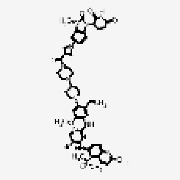 CCc1cc(Nc2ncc(Br)c(Nc3ccc4nc(C)ccc4c3P(C)(C)=O)n2)c(OC)cc1N1CCC(N2CCN(C(=O)C3CN(c4ccc5c(c4)n(C)c(=O)n5C4CCC(=O)NC4=O)C3)CC2)CC1